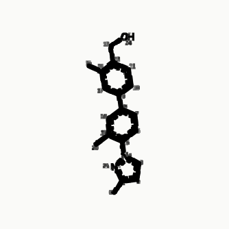 Cc1ccn(-c2ccc(-c3ccc(CO)c(C)c3)cc2C)n1